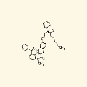 CCCCCCC(=O)N(CCOc1ccc(C[C@H](Nc2ccccc2C(=O)c2ccccc2)C(=O)OC)cc1)c1ccccc1